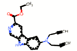 C#CCN(CC#C)c1ccc2[nH]c3cnc(C(=O)OCC)cc3c2c1